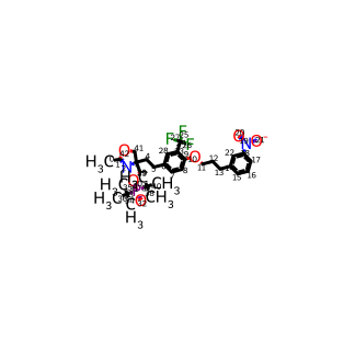 CC1=NC(CCc2ccc(OCCCc3cccc([N+](=O)[O-])c3)c(C(F)(F)F)c2)(COP(=O)(C(C)(C)C)C(C)(C)C)CO1